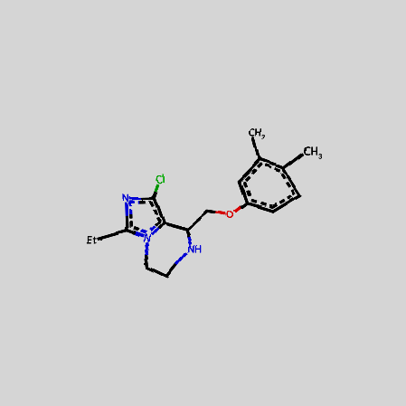 CCc1nc(Cl)c2n1CCNC2COc1ccc(C)c(C)c1